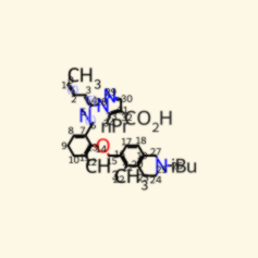 C\C=C/C=C(\N=C\C1=CCCC(C)=C1OCc1ccc2c(c1C)CCN(C(C)CC)C2)n1ncc(C(=O)O)c1CCC